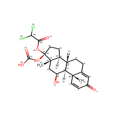 C[C@]12C=CC(=O)C=C1CC[C@@H]1[C@@H]2[C@@H](O)C[C@@]2(C)[C@H]1CC[C@@]2(OC(=O)O)OC(=O)C(Cl)Cl